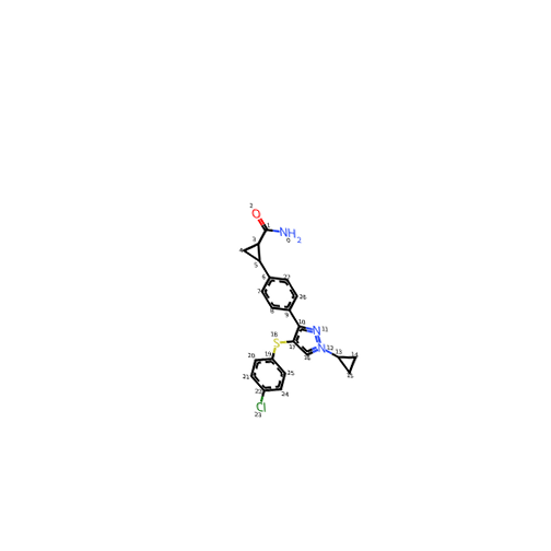 NC(=O)C1CC1c1ccc(-c2nn(C3CC3)cc2Sc2ccc(Cl)cc2)cc1